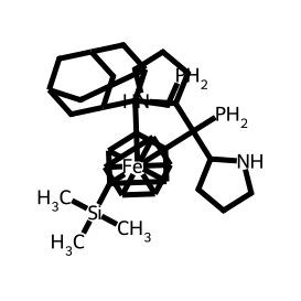 C[Si](C)(C)[C]12[CH]3[C]4(C(P)(C5CCCN5)C5CCCN5)[C]5(C6(CP)C7CC8CC(C7)CC6C8)[CH]1[Fe]34521678[CH]2[CH]1[CH]6[CH]7[CH]28